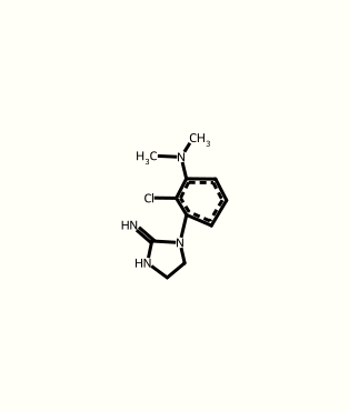 CN(C)c1cccc(N2CCNC2=N)c1Cl